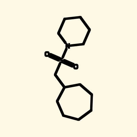 O=S(=O)(CC1CCCCCC1)N1CCCCC1